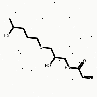 C=CC(=O)NCC(O)COCCCC(C)S